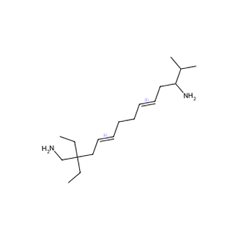 CCC(CC)(CN)C/C=C/CC/C=C/CC(N)C(C)C